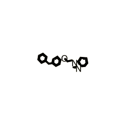 c1ccc(Cc2ccc(OCCn3cnc4ccccc43)cc2)cc1